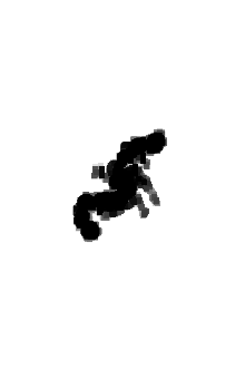 C=c1/c(=C\C=C(/C)c2ccc3c(c2)C(C)(C)c2ccc4c(c2-3)-c2ccc(-c3ccc5oc6ccc(-c7ccccc7)cc6c5c3)cc2C4(C)C)oc2ccc(-c3ccccc3)cc12